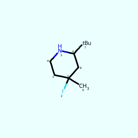 CC1(F)CCNC(C(C)(C)C)C1